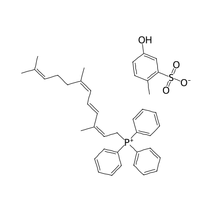 CC(C)=CCCC(C)=CC=CC(C)=CC[P+](c1ccccc1)(c1ccccc1)c1ccccc1.Cc1ccc(O)cc1S(=O)(=O)[O-]